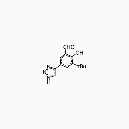 CC(C)(C)c1cc(-c2c[nH]nn2)cc(C=O)c1O